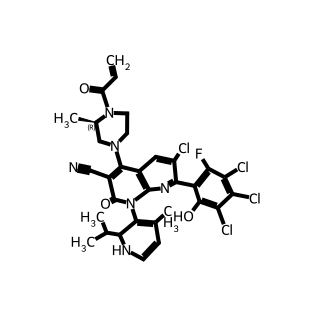 C=CC(=O)N1CCN(c2c(C#N)c(=O)n(C3=C(C)C=CNC3C(C)C)c3nc(-c4c(O)c(Cl)c(Cl)c(Cl)c4F)c(Cl)cc23)C[C@H]1C